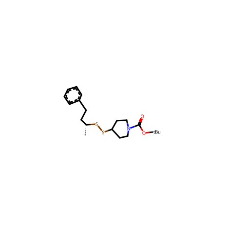 C[C@H](CCc1ccccc1)SSC1CCN(C(=O)OC(C)(C)C)CC1